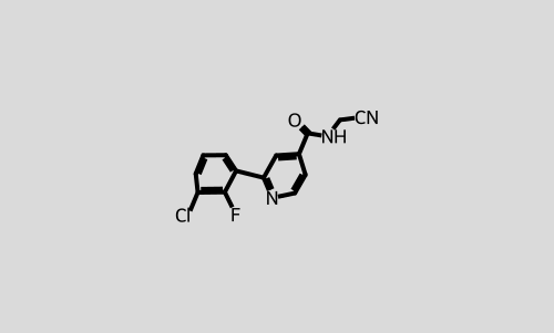 N#CCNC(=O)c1ccnc(-c2cccc(Cl)c2F)c1